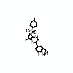 Cc1ccc(S(=O)(=O)n2cc(I)c3nc(-c4ccc5[nH]ncc5c4)cnc32)cc1